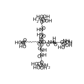 NC1C(OCCCCC(=O)NCCCNC(=O)CCOCC(COCCC(=O)NCCCNC(=O)CCCCOC2OC(CO)C(O)C(O)C2N)(COCCC(=O)NCCCNC(=O)CCCCOC2OC(CO)C(O)C(O)C2N)NC(=O)CCCCCCCCCCC(=O)N2C[C@H](O)C[C@H]2CO)OC(CO)C(O)C1O